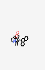 O=C1C=C2C(c3cc4ccccc4c4ccccc34)=C[C@@H]3C[C@@]2(O1)[C@H]1CCCCN31